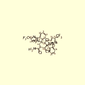 NC(=O)C1CC(c2ccccc2-n2ccc(C(F)(F)F)n2)([N+](=O)[O-])C(Cl)C(c2ccccc2-n2ccc(C(F)(F)F)n2)([N+](=O)[O-])C1Cl